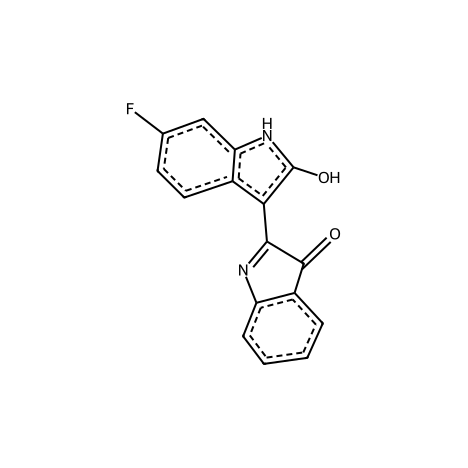 O=C1C(c2c(O)[nH]c3cc(F)ccc23)=Nc2ccccc21